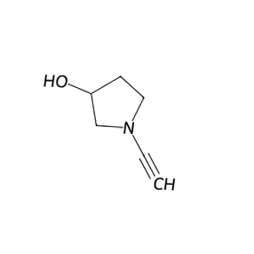 C#CN1CCC(O)C1